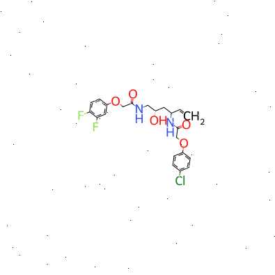 C=CC(C[C@H](O)CNC(=O)COc1ccc(F)c(F)c1)NC(=O)COc1ccc(Cl)cc1